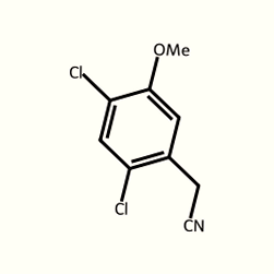 COc1cc(CC#N)c(Cl)cc1Cl